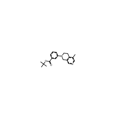 Cc1cncc2c1CCN(c1cccc(C(=O)OC(C)(C)C)c1)C2